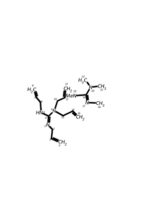 C=CCN=C(NCC=C)N(CC=C)CC=C.CN=C(NC)N(C)C